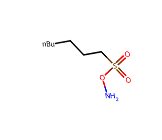 CCCCCCCS(=O)(=O)ON